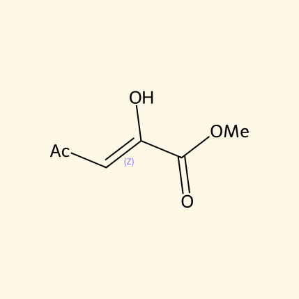 COC(=O)/C(O)=C/C(C)=O